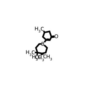 CC1CC(=O)C=C(B2CCC(C)(C)C(C)(C)CC2)C1